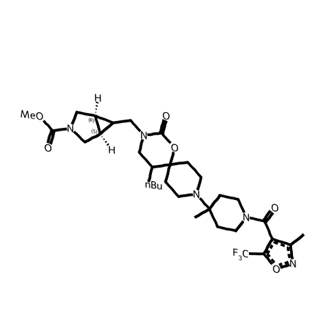 CCCCC1CN(CC2[C@H]3CN(C(=O)OC)C[C@@H]23)C(=O)OC12CCN(C1(C)CCN(C(=O)c3c(C)noc3C(F)(F)F)CC1)CC2